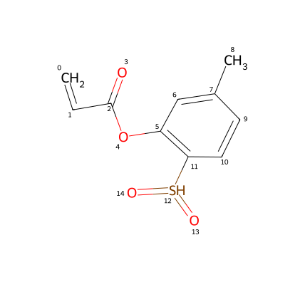 C=CC(=O)Oc1cc(C)ccc1[SH](=O)=O